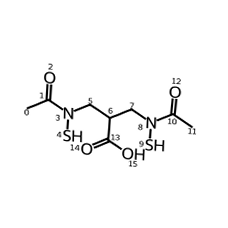 CC(=O)N(S)CC(CN(S)C(C)=O)C(=O)O